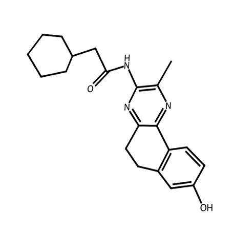 Cc1nc2c(nc1NC(=O)CC1CCCCC1)CCc1cc(O)ccc1-2